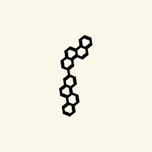 c1ccc2c(c1)ccc1c3ccc(-c4ccc5ccc6c7ccccc7ccc6c5c4)cc3ccc21